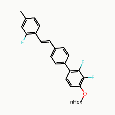 CCCCCCOc1ccc(-c2ccc(/C=C/c3ccc(C)cc3F)cc2)c(F)c1F